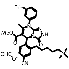 COC(=O)C1=C(C)N(c2cccc(C(F)(F)F)c2)c2n[nH]c(=O)n2C1c1ccc(C#N)cc1CCCCC[N+](C)(C)C.O=C[O-]